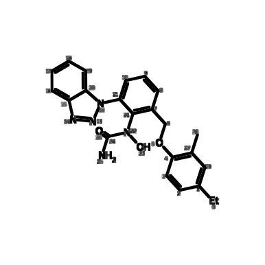 CCc1ccc(OCc2cccc(-n3nnc4ccccc43)c2N(O)C(N)=O)c(C)c1